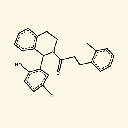 Cc1ccccc1CCC(=O)N1CCc2ccccc2C1c1cc(Cl)ccc1O